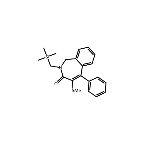 CSC1=C(c2ccccc2)c2ccccc2CN(C[Si](C)(C)C)C1=O